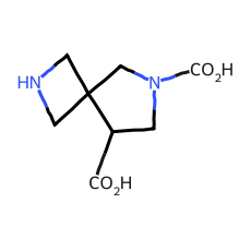 O=C(O)C1CN(C(=O)O)CC12CNC2